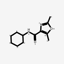 Cc1nc(C(=O)NC2CCCCC2)c(C)o1